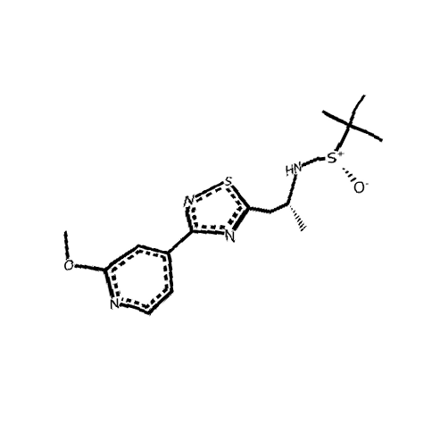 COc1cc(-c2nsc([C@@H](C)N[S@@+]([O-])C(C)(C)C)n2)ccn1